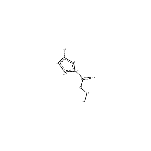 CCOC(=O)n1cc(C)cn1